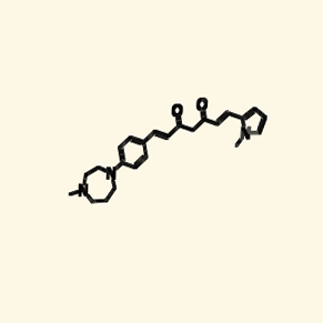 CN1CCCN(c2ccc(/C=C/C(=O)CC(=O)/C=C/c3cccn3C)cc2)CC1